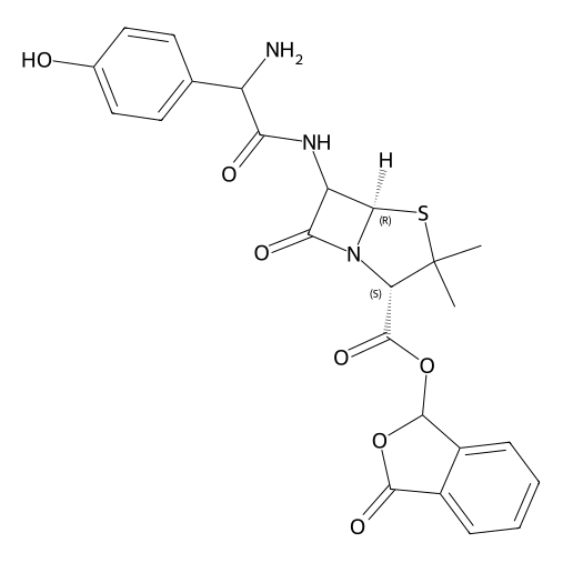 CC1(C)S[C@@H]2C(NC(=O)C(N)c3ccc(O)cc3)C(=O)N2[C@H]1C(=O)OC1OC(=O)c2ccccc21